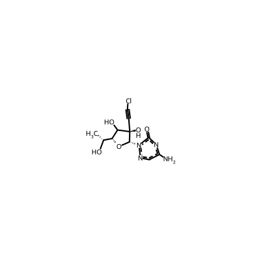 C[C@@H](O)[C@H]1O[C@@H](n2ncc(N)nc2=O)[C@@](O)(C#CCl)C1O